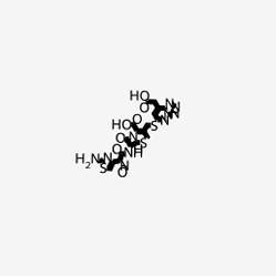 CON=C(C(=O)NC1C(=O)N2C(C(=O)O)=C(CSc3cc(CC(=O)O)c4nnnn4n3)CS[C@@H]12)c1csc(N)n1